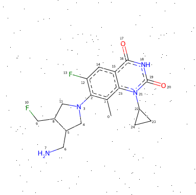 Cc1c(N2CC(CN)C(CF)C2)c(F)cc2c(=O)[nH]c(=O)n(C3CC3)c12